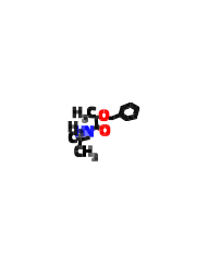 CC(C)CNC(=O)C(C)OCc1ccccc1